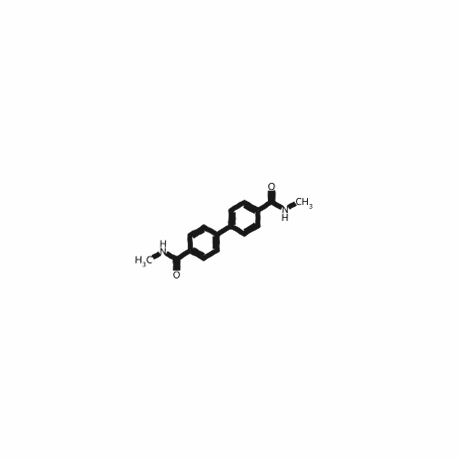 CNC(=O)c1ccc(-c2ccc(C(=O)NC)cc2)cc1